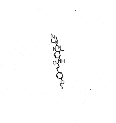 Cc1nc(N2CCN(C)CC2)nc2ccc(NC(=O)C=Cc3ccc(OC=S)cc3)cc12